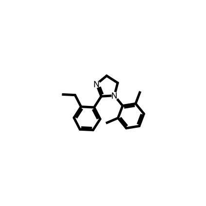 CCc1ccccc1C1=NCCN1c1c(C)cccc1C